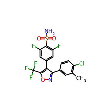 Cc1cc(-c2noc(C(F)(F)F)c2-c2cc(F)c(S(N)(=O)=O)c(F)c2)ccc1Cl